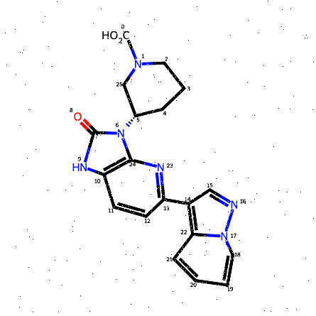 O=C(O)N1CCC[C@H](n2c(=O)[nH]c3ccc(-c4cnn5ccccc45)nc32)C1